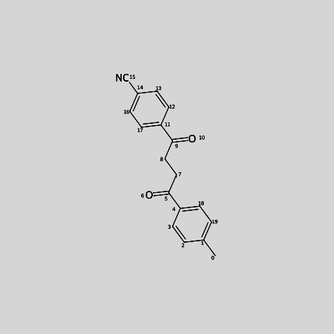 Cc1ccc(C(=O)[CH]CC(=O)c2ccc(C#N)cc2)cc1